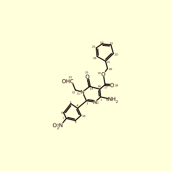 Nc1nc(-c2ccc([N+](=O)[O-])cc2)n(CC=O)c(=O)c1C(=O)OCc1ccccc1